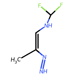 C/C(=C/NC(F)F)N=N